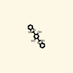 Oc1cc(-c2nc3ccccc3[nH]2)c(O)cc1-c1nc2ccccc2[nH]1